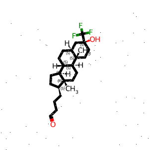 C[C@]12CC[C@@](O)(C(F)(F)F)C[C@@H]1CC[C@@H]1[C@@H]2CC[C@]2(C)[C@@H](CCCC=O)CC[C@@H]12